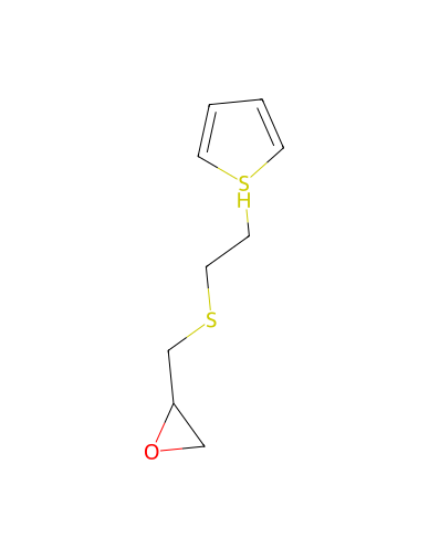 C1=C[SH](CCSCC2CO2)C=C1